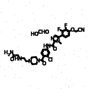 Cn1c(-c2ccc(OCC#N)c(F)c2F)cnc1C(=O)Nc1ccc(C(=O)N2CCN(CCNCC(N)=O)CC2)c(Cl)c1.O=CO